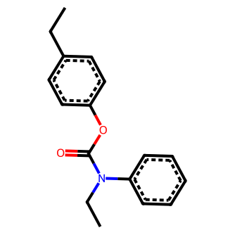 CCc1ccc(OC(=O)N(CC)c2ccccc2)cc1